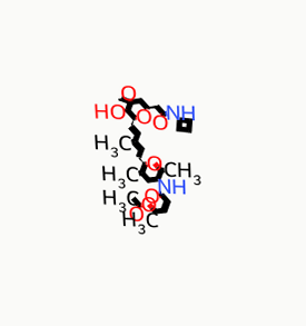 CC(=O)O[C@@H](C)/C=C\C(=O)NC1CC(C)[C@H](C/C=C(C)/C=C/[C@H]2O[C@H](CC(=O)NC3CCC3)CC3(CO3)[C@@H]2O)OC1C